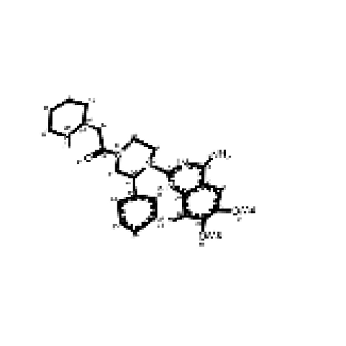 COc1cc2c(N)nc(N3CCN(C(=O)C[C@@H]4CCCCN4)C[C@@H]3c3ccccc3)nc2c(F)c1OC